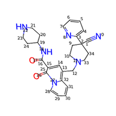 N#CC1(c2ccccn2)CCN(Cc2cc(C(=O)NC3CCNCC3)c(=O)n3ccccc23)CC1